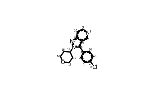 Clc1ccc(-c2c3cnccc3nn2C2CCOCC2)cc1